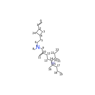 C=CC1CC(CCN(C)CC(=C)CC/C(=C(\C)CCC)C(C)CC)C1